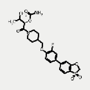 CC(C)[C@H](OC(N)=O)C(=O)N1CCC(COc2ccc(-c3ccc4c(c3)OCS4(=O)=O)cc2F)CC1